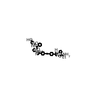 CC[C@H](N)C(=O)N1CCC[C@H]1c1ncc(-c2ccc(C#Cc3ccc(-c4cnc([C@@H]5CCCN5C(=O)[C@H](NC(=O)N5CC[C@@H](O)C5)c5ccccc5)[nH]4)cc3)cc2)[nH]1